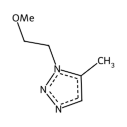 COCCn1nncc1C